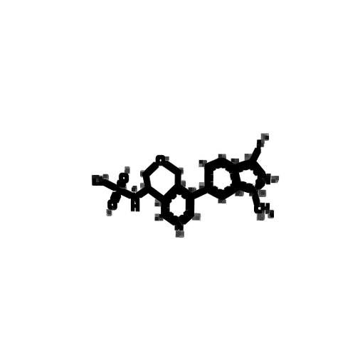 CCS(=O)(=O)NC1COCc2c(-c3ccc4c(F)nn(C)c4c3)cncc21